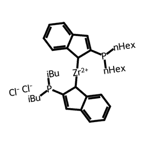 CCCCCCP(CCCCCC)C1=Cc2ccccc2[CH]1[Zr+2][CH]1C(P(C(C)CC)C(C)CC)=Cc2ccccc21.[Cl-].[Cl-]